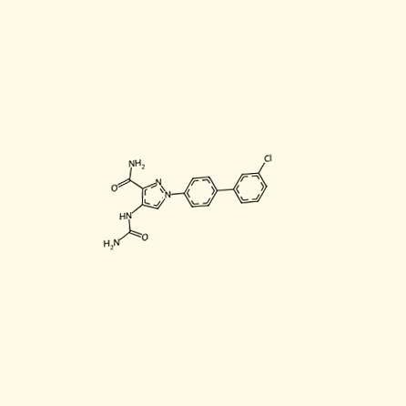 NC(=O)Nc1cn(-c2ccc(-c3cccc(Cl)c3)cc2)nc1C(N)=O